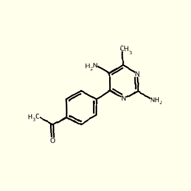 CC(=O)c1ccc(-c2nc(N)nc(C)c2N)cc1